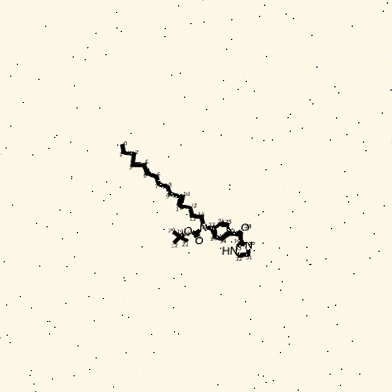 CCCCCCCCCCC=CCCCN(C(=O)OC(C)(C)C)c1ccc(C(=O)c2ncc[nH]2)cc1